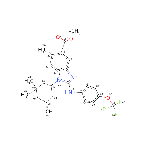 COC(=O)c1cc2nc(Nc3ccc(OC(F)(F)F)cc3)n(C3C[C@H](C)CC(C)(C)C3)c2cc1C